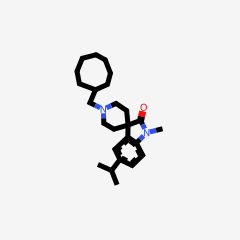 CC(C)c1ccc2c(c1)C1(CCN(CC3CCCCCCC3)CC1)C(=O)N2C